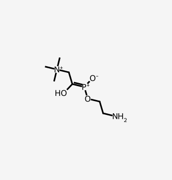 C[N+](C)(C)C/C(O)=[P+](\[O-])OCCN